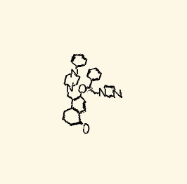 O=C1CCCc2c1ccc(O[C@H](Cn1ccnc1)c1ccccc1)c2CN1CCN(c2ccccc2)CC1